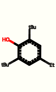 [CH]Cc1cc(C(C)(C)C)c(O)c(C(C)(C)C)c1